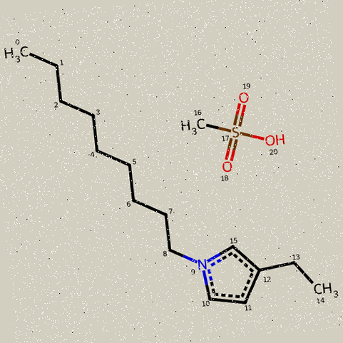 CCCCCCCCCn1ccc(CC)c1.CS(=O)(=O)O